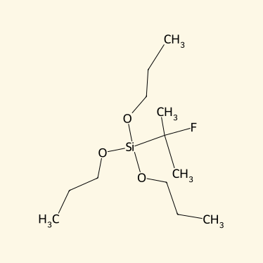 CCCO[Si](OCCC)(OCCC)C(C)(C)F